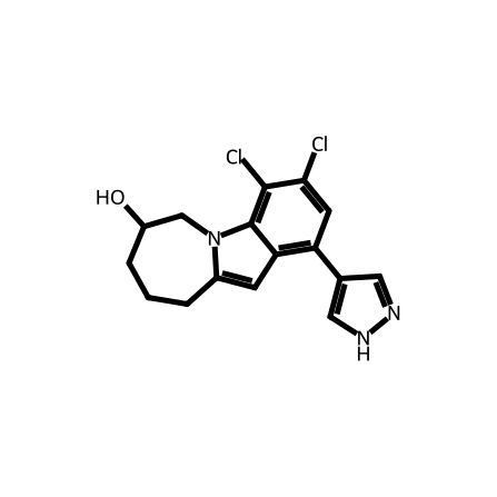 OC1CCCc2cc3c(-c4cn[nH]c4)cc(Cl)c(Cl)c3n2C1